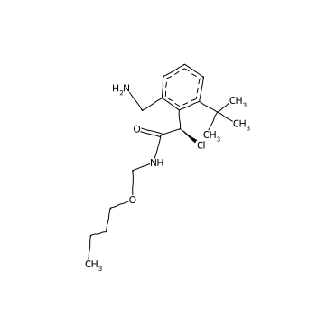 CCCCOCNC(=O)[C@H](Cl)c1c(CN)cccc1C(C)(C)C